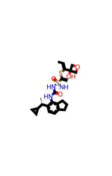 C=C(S/C(=C\C)C1(O)COC1)[S@](=N)(=O)NC(=O)Nc1c([C@@H](C)C2CC2)ccc2c1CCC2